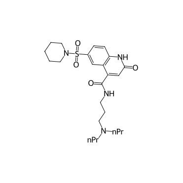 CCCN(CCC)CCCNC(=O)c1cc(=O)[nH]c2ccc(S(=O)(=O)N3CCCCC3)cc12